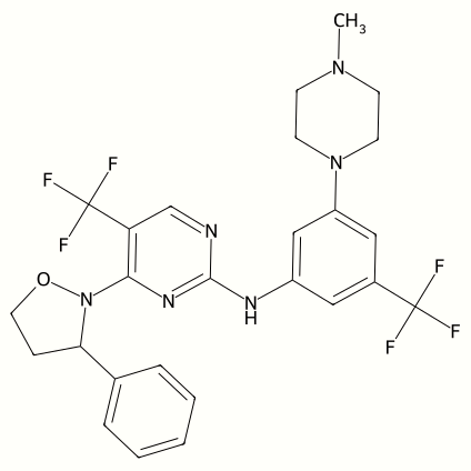 CN1CCN(c2cc(Nc3ncc(C(F)(F)F)c(N4OCCC4c4ccccc4)n3)cc(C(F)(F)F)c2)CC1